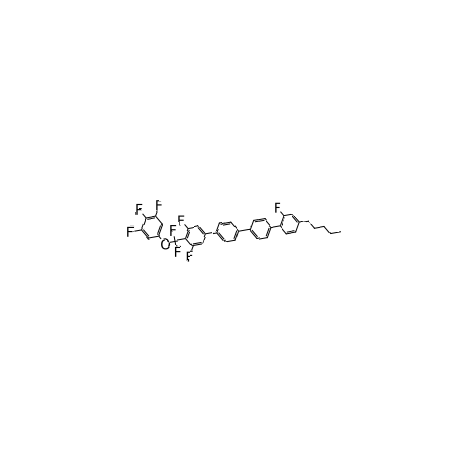 CCCCCc1ccc(-c2ccc(-c3ccc(-c4cc(F)c(C(F)(F)Oc5cc(F)c(F)c(F)c5)c(F)c4)cc3)cc2)c(F)c1